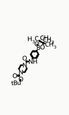 CC(C)(C)OC(=O)N1CCN(C(=O)Nc2ccc(B3OC(C)(C)C(C)(C)O3)cc2)CC1